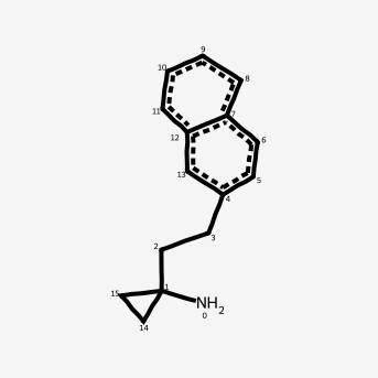 NC1(CCc2ccc3ccccc3c2)CC1